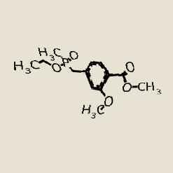 CCOP(C)(=O)Cc1ccc(C(=O)OC)c(OC)c1